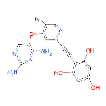 CC(C)c1cnc(C#Cc2c(O)cc(O)cc2O)cc1Oc1cnc(N)nc1N